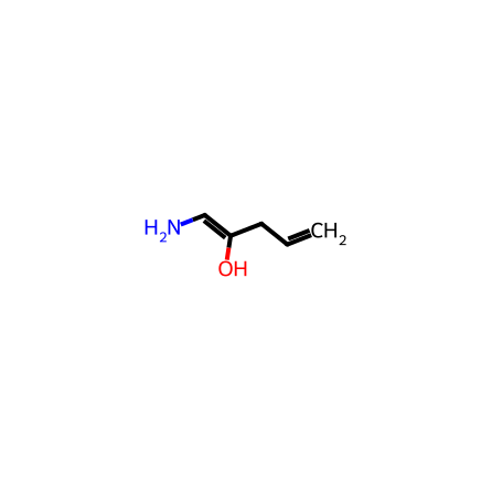 C=CCC(O)=CN